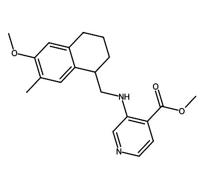 COC(=O)c1ccncc1NCC1CCCc2cc(OC)c(C)cc21